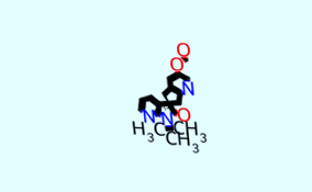 CC(C)(C)N1C(=O)[C@]2(Cc3cc(OC=O)cnc3C2)c2cccnc21